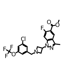 COC(=O)c1cc2c(C)nn(C3CN(Cc4cc(Cl)cc(OC(F)(F)F)c4)C3)c2cc1F